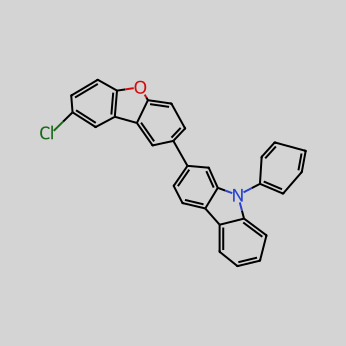 Clc1ccc2oc3ccc(-c4ccc5c6ccccc6n(-c6ccccc6)c5c4)cc3c2c1